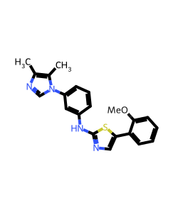 COc1ccccc1-c1cnc(Nc2cccc(-n3cnc(C)c3C)c2)s1